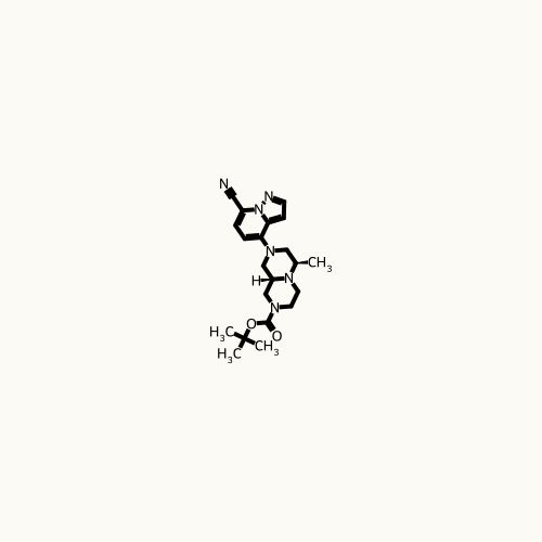 C[C@@H]1CN(c2ccc(C#N)n3nccc23)C[C@H]2CN(C(=O)OC(C)(C)C)CCN21